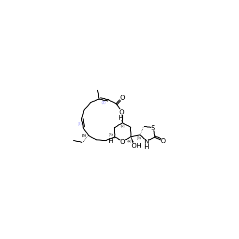 CC[C@@H]1/C=C\CC/C(C)=C\C(=O)O[C@@H]2C[C@@H](CC1)O[C@@](O)([C@@H]1CSC(=O)N1)C2